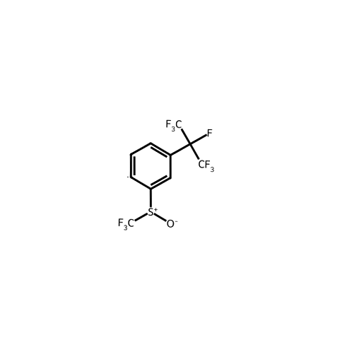 [O-][S+](c1[c]ccc(C(F)(C(F)(F)F)C(F)(F)F)c1)C(F)(F)F